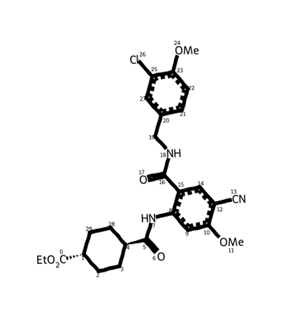 CCOC(=O)[C@H]1CC[C@H](C(=O)Nc2cc(OC)c(C#N)cc2C(=O)NCc2ccc(OC)c(Cl)c2)CC1